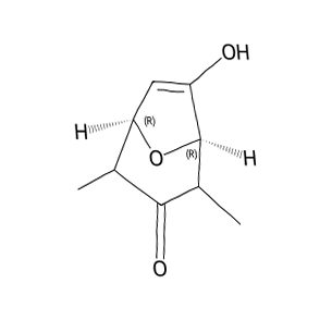 CC1C(=O)C(C)[C@H]2O[C@@H]1C=C2O